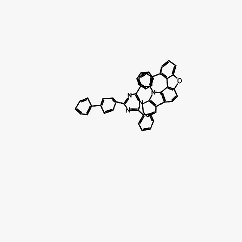 C1=Cc2c(n(-c3ccccc3-c3nc(-c4ccccc4)nc(-c4ccc(-c5ccccc5)cc4)n3)c3c2ccc2oc4cccc(-c5ccccc5)c4c23)CC1